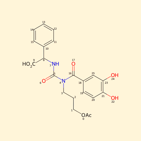 CC(=O)OCCCN(C(=O)NC(C(=O)O)c1ccccc1)C(=O)c1ccc(O)c(O)c1